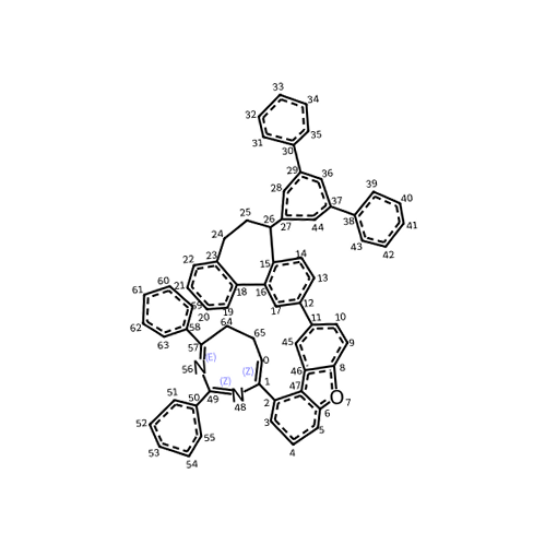 C1=C(c2cccc3oc4ccc(-c5ccc6c(c5)-c5ccccc5CCC6c5cc(-c6ccccc6)cc(-c6ccccc6)c5)cc4c23)/N=C(c2ccccc2)\N=C(\c2ccccc2)CC\1